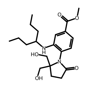 CCCC(CCC)Nc1cc(C(=O)OC)ccc1N1C(=O)CCC1(CO)CO